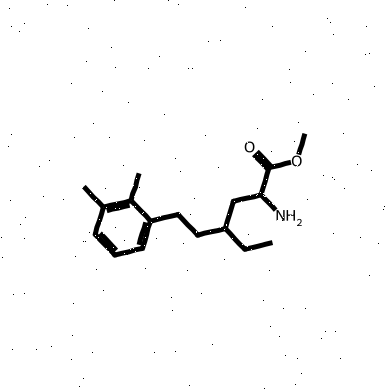 CCC(CCc1cccc(C)c1C)CC(N)C(=O)OC